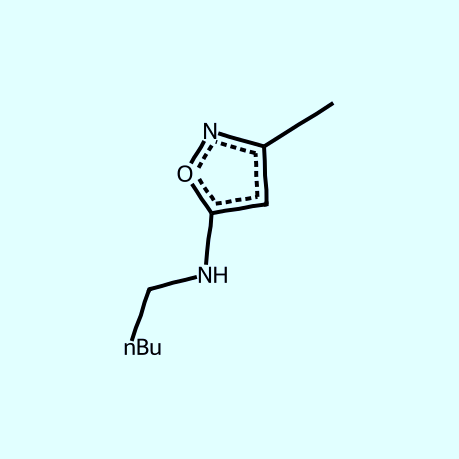 CCCCCNc1cc(C)no1